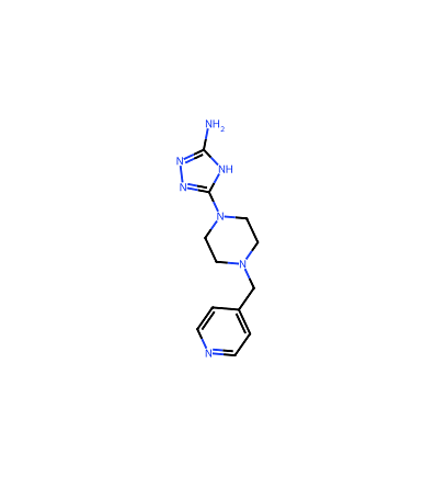 Nc1nnc(N2CCN(Cc3ccncc3)CC2)[nH]1